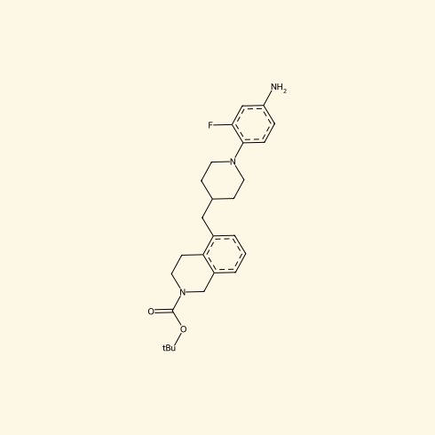 CC(C)(C)OC(=O)N1CCc2c(CC3CCN(c4ccc(N)cc4F)CC3)cccc2C1